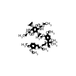 CCOC(=O)NC1=C(N2CC2)C(=O)C(NC(=O)OCC)=C(N2CC2)C1=O.COc1ccc(CCN(C)CCC[C@](C#N)(c2ccc(OC)c(OC)c2)C(C)C)cc1OC